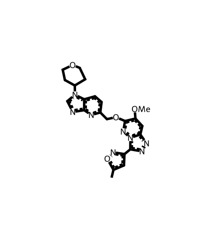 COc1cc2nnc(-c3cc(C)on3)n2nc1OCc1ccc2c(ncn2C2CCOCC2)n1